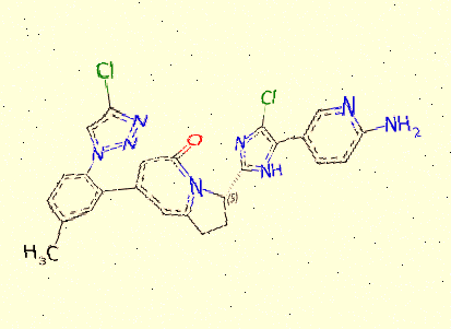 Cc1ccc(-n2cc(Cl)nn2)c(-c2cc3n(c(=O)c2)[C@H](c2nc(Cl)c(-c4ccc(N)nc4)[nH]2)CC3)c1